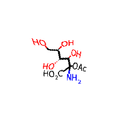 CC(=O)O[C@@](N)(C(=O)O)[C@@H](O)[C@H](O)[C@H](O)CO